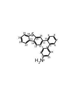 Nc1ccc(-c2ccccc2-c2ccc3c(c2)sc2ccccc23)cc1